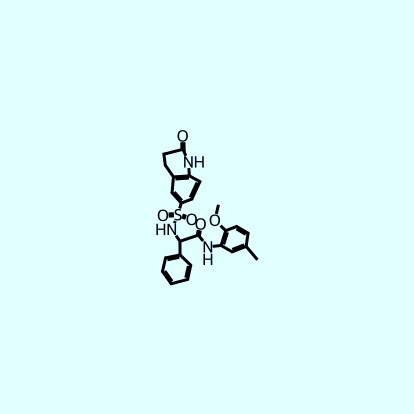 COc1ccc(C)cc1NC(=O)C(NS(=O)(=O)c1ccc2c(c1)CCC(=O)N2)c1ccccc1